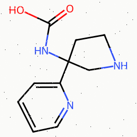 O=C(O)NC1(c2ccccn2)CCNC1